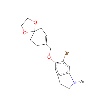 CC(=O)N1CCc2cc(OCC3=CCC4(CC3)OCCO4)c(Br)cc21